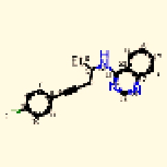 CCC(CC#Cc1ccc(F)cc1)Nc1ncnc2ccccc12